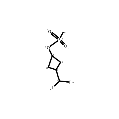 CS(=O)(=O)OC1CC(C(F)F)C1